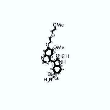 COCCOCCOc1cc2ncnc(C3C(=O)Nc4ccc(S(N)(=O)=O)cc43)c2cc1OC.Cl